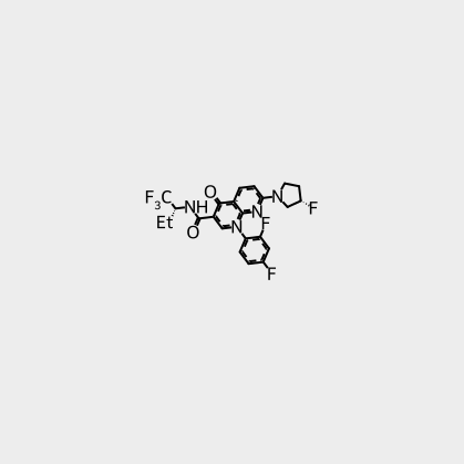 CC[C@@H](NC(=O)c1cn(-c2ccc(F)cc2F)c2nc(N3CC[C@H](F)C3)ccc2c1=O)C(F)(F)F